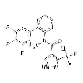 CN(C(=O)c1c[nH]nc1C(F)(F)Cl)c1ccccc1-c1cc(F)c(F)c(F)c1